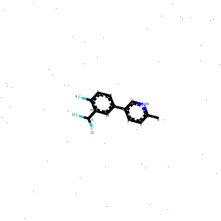 Cc1ccc(-c2ccc(F)c(C(F)F)c2)cn1